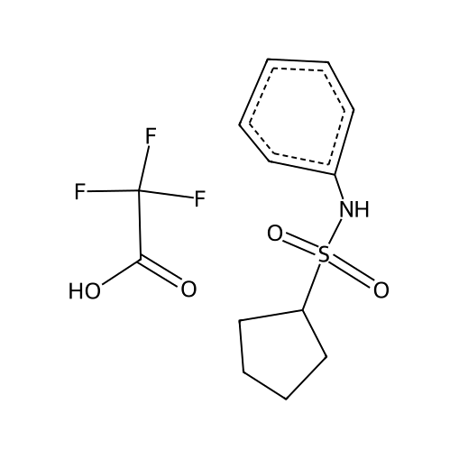 O=C(O)C(F)(F)F.O=S(=O)(Nc1ccccc1)C1CCCC1